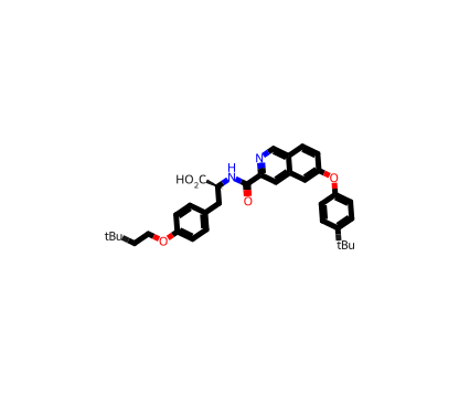 CC(C)(C)CCOc1ccc(C[C@H](NC(=O)c2cc3cc(Oc4ccc(C(C)(C)C)cc4)ccc3cn2)C(=O)O)cc1